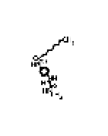 CCCCCCCCS(=O)(=O)Nc1ccc(NNC(=S)NC)cc1